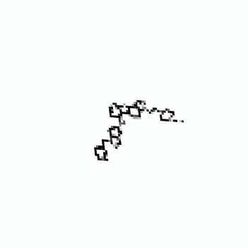 CCN1CCN(CCn2ncc3c2CCc2c-3sc3ncnc(Nc4ccc5c(cnn5Cc5cccc(F)c5)c4)c23)CC1